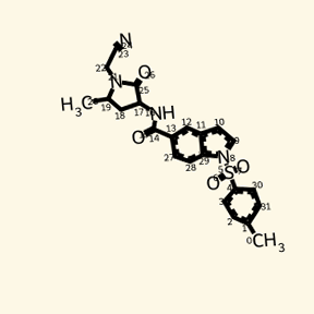 Cc1ccc(S(=O)(=O)n2ccc3cc(C(=O)NC4CC(C)N(CC#N)C4=O)ccc32)cc1